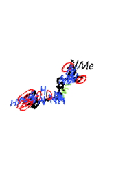 CNC(=O)N1CCc2c(c(N3CCCc4cc(-c5cnn(CCNC(=O)CCCNc6cccc7c6C(=O)N(C6CCC(=O)NC6=O)C7=O)c5)c(C(F)F)cc43)nn2C2CCOCC2)C1